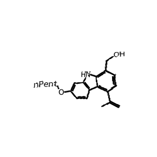 C=C(C)c1ccc(CO)c2[nH]c3cc(OCCCCC)ccc3c12